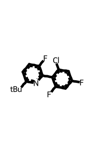 CC(C)(C)c1ccc(F)c(-c2c(F)cc(F)cc2Cl)n1